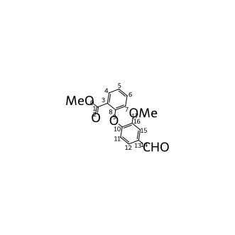 COC(=O)c1ccccc1Oc1ccc(C=O)cc1OC